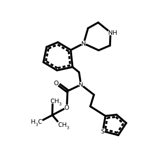 CC(C)(C)OC(=O)N(CCc1cccs1)Cc1ccccc1N1CCNCC1